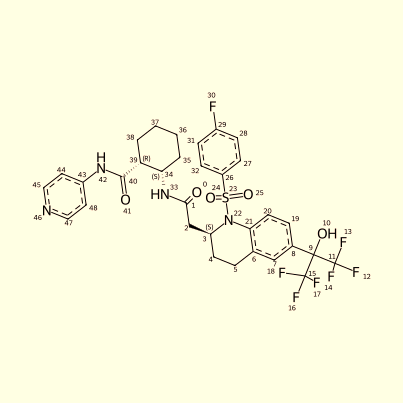 O=C(C[C@@H]1CCc2cc(C(O)(C(F)(F)F)C(F)(F)F)ccc2N1S(=O)(=O)c1ccc(F)cc1)N[C@H]1CCCC[C@H]1C(=O)Nc1ccncc1